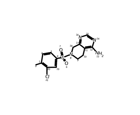 Cc1ccc(S(=O)(=O)N2CCc3c(N)ncnc3C2)cc1Cl